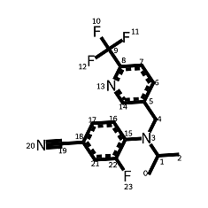 CC(C)N(Cc1ccc(C(F)(F)F)nc1)c1ccc(C#N)cc1F